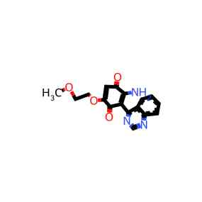 COCCOC1=CC(=O)C(N)=C(c2ncnc3ccccc23)C1=O